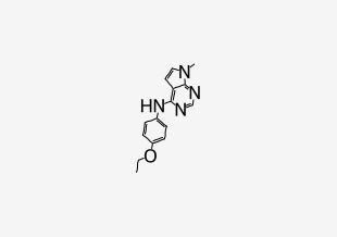 CCOc1ccc(Nc2ncnc3c2ccn3C)cc1